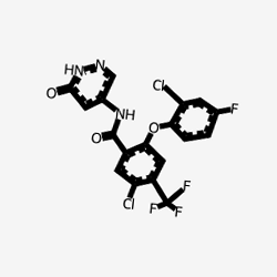 O=C(Nc1cn[nH]c(=O)c1)c1cc(Cl)c(C(F)(F)F)cc1Oc1ccc(F)cc1Cl